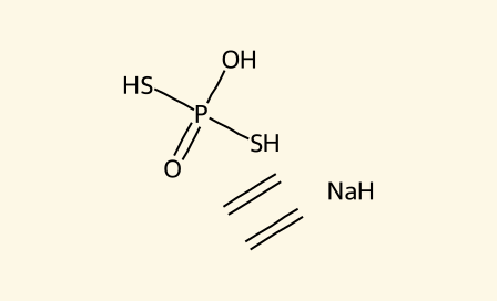 C=C.C=C.O=P(O)(S)S.[NaH]